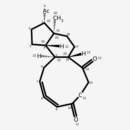 CC(=O)[C@H]1CC[C@H]2[C@@H]3CC=C=CC(=O)CCC(=O)[C@H]3CC[C@]12C